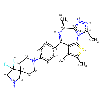 Cc1sc2c(c1C)C(c1ccc(N3CCC4(CC3)CNCC4(F)F)cc1)=N[C@@H](C)c1nnc(C)n1-2